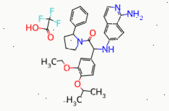 CCOc1cc(C(Nc2ccc3c(N)nccc3c2)C(=O)N2CCCC2c2ccccc2)ccc1OC(C)C.O=C(O)C(F)(F)F